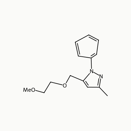 COCCOCc1cc(C)nn1-c1ccccc1